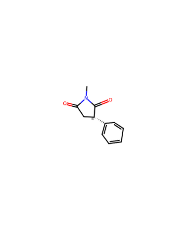 CN1C(=O)C[C@@H](c2ccccc2)C1=O